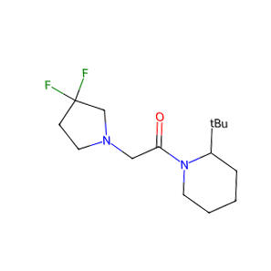 CC(C)(C)C1CCCCN1C(=O)CN1CCC(F)(F)C1